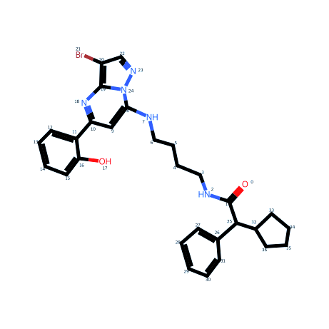 O=C(NCCCCNc1cc(-c2ccccc2O)nc2c(Br)cnn12)C(c1ccccc1)C1CCCC1